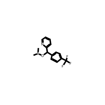 CB(C)OC(c1ccc(C(F)(F)F)cc1)c1ccccn1